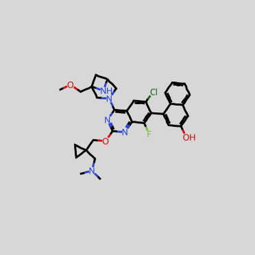 COCC12CC(CN(c3nc(OCC4(CN(C)C)CC4)nc4c(F)c(-c5cc(O)cc6ccccc56)c(Cl)cc34)C1)N2